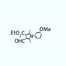 CCOC(=O)c1c(C=O)c(C)n(-c2cccc(OC)c2)c1C